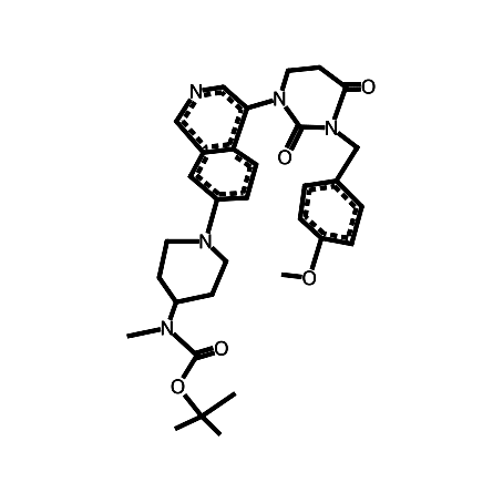 COc1ccc(CN2C(=O)CCN(c3cncc4cc(N5CCC(N(C)C(=O)OC(C)(C)C)CC5)ccc34)C2=O)cc1